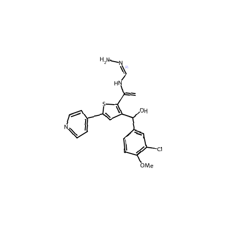 C=C(N/C=N\N)c1sc(-c2ccncc2)cc1C(O)c1ccc(OC)c(Cl)c1